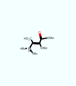 CCC[CH2][SnH]([CH2]CCC)/[C](C(=O)O)=C(\OC)C(=O)OC